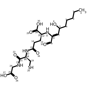 CCCCCC(O)C=C(C=O)N[C@@H](CCC(=O)N[C@@H](CS)C(=O)NCC(=O)O)C(=O)O